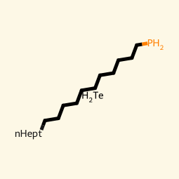 CCCCCCCCCCCCCCCCCCP.[TeH2]